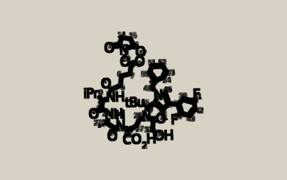 CC(C)C(NC(=O)CCCC(=O)ON1C(=O)CCC1=O)C(=O)N[C@@H](C)C(=O)N[C@@H](CCN(C(=O)CO)[C@@H](c1cc(-c2cc(F)ccc2F)cn1Cc1ccccc1)C(C)(C)C)C(=O)O